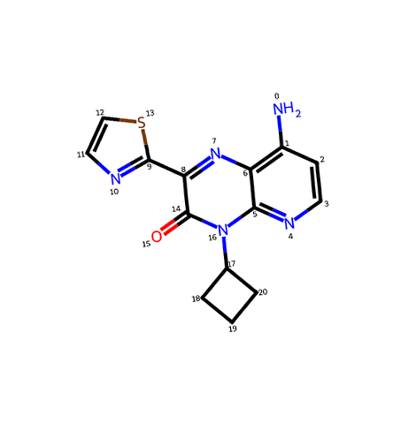 Nc1ccnc2c1nc(-c1nccs1)c(=O)n2C1CCC1